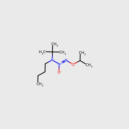 CCCCN([N+]([O-])=NOC(C)C)C(C)(C)C